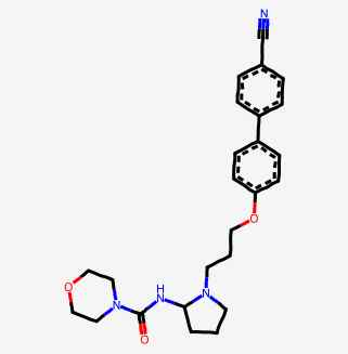 N#Cc1ccc(-c2ccc(OCCCN3CCCC3NC(=O)N3CCOCC3)cc2)cc1